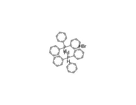 Br.c1ccc([PH]([Pd][PH](c2ccccc2)(c2ccccc2)c2ccccc2)(c2ccccc2)c2ccccc2)cc1